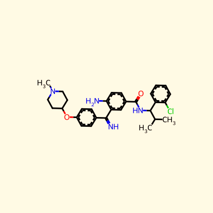 CC(C)C(NC(=O)c1ccc(N)c(C(=N)c2ccc(OC3CCN(C)CC3)cc2)c1)c1ccccc1Cl